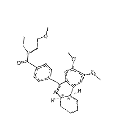 CCN(CCOC)C(=O)c1ccc(C2=N[C@@H]3CCCC[C@@H]3c3cc(OC)c(OC)cc32)cc1